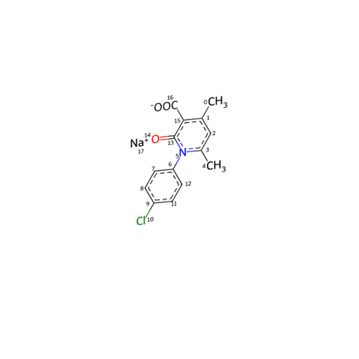 Cc1cc(C)n(-c2ccc(Cl)cc2)c(=O)c1C(=O)[O-].[Na+]